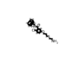 NCCSCCCOc1ccc(Cl)c(C(=O)NCC23CC4CC(CC(C4)C2)C3)c1